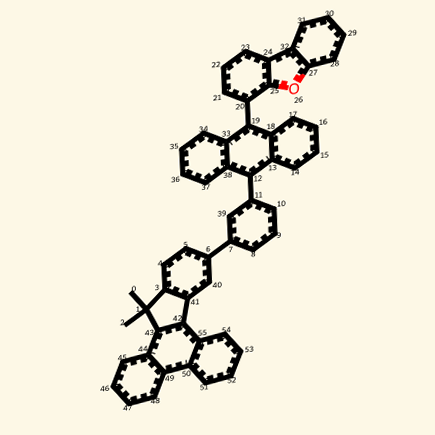 CC1(C)c2ccc(-c3cccc(-c4c5ccccc5c(-c5cccc6c5oc5ccccc56)c5ccccc45)c3)cc2-c2c1c1ccccc1c1ccccc21